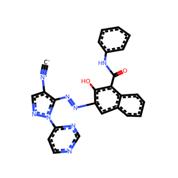 [C-]#[N+]c1cnn(-c2ccncn2)c1/N=N/c1cc2ccccc2c(C(=O)Nc2ccccc2)c1O